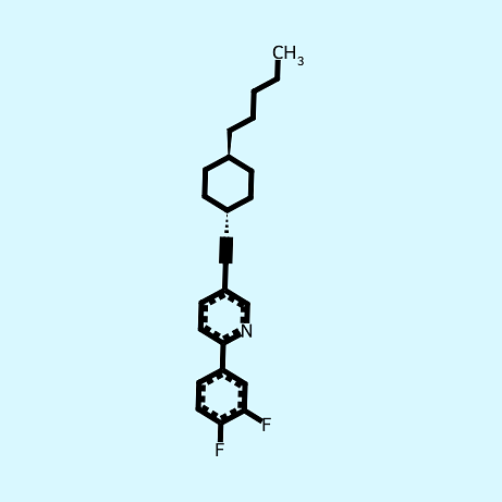 CCCCC[C@H]1CC[C@H](C#Cc2ccc(-c3ccc(F)c(F)c3)nc2)CC1